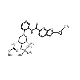 CC1CC1c1cc2ccc(C(=O)Nc3cnccc3N3C[C@H](C)[C@@H](O[Si](C)(C)C(C)(C)C)[C@H](NC(=O)OC(C)(C)C)C3)nc2o1